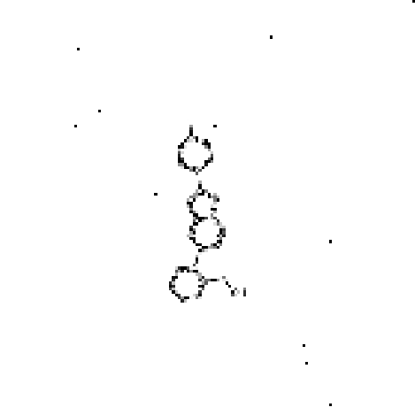 OCc1ccccc1-c1ccn2nc(-c3ccc(Cl)cc3)cc2c1